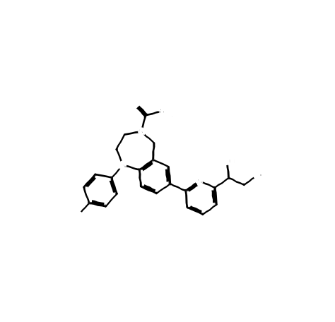 NC(=O)N1CCN(c2ccc(C(F)(F)F)cc2)c2ccc(-c3cccc(C(O)CO)n3)cc2C1